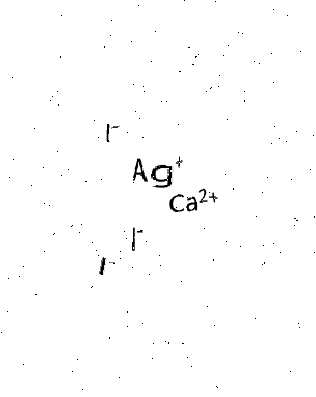 [Ag+].[Ca+2].[I-].[I-].[I-]